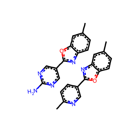 Cc1ccc2nc(-c3cnc(N)nc3)oc2c1.Cc1ccc2oc(-c3ccc(C)nc3)nc2c1